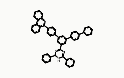 c1ccc(C2=NC(c3cc(-c4ccc(-c5ccccc5)cc4)cc(-c4ccc(-c5nc6ccccc6c6ccccc56)cc4)c3)=NC(c3ccccc3)N2)cc1